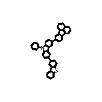 c1ccc(-n2c3ccc(-c4ccc5c(c4)-c4cccc6cccc-5c46)cc3c3cc(-c4ccc5sc6ccccc6c5c4)ccc32)cc1